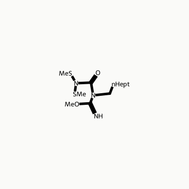 CCCCCCCCN(C(=N)OC)C(=O)N(SC)SC